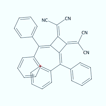 N#CC(C#N)=C1C(=C(C#N)C#N)C(=C(c2ccccc2)c2ccccc2)C1=C(c1ccccc1)c1ccccc1